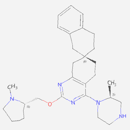 C[C@H]1CNCCN1c1nc(OC[C@@H]2CCCN2C)nc2c1CC[C@@]1(CCc3ccccc3C1)C2